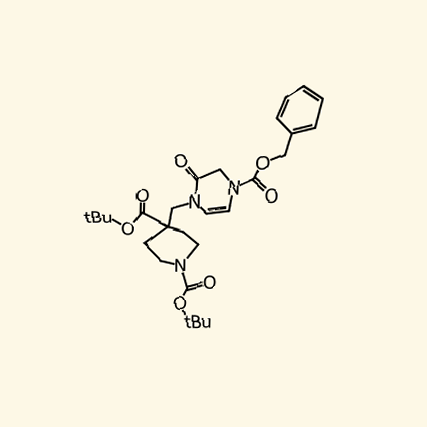 CC(C)(C)OC(=O)N1CCC(CN2C=CN(C(=O)OCc3ccccc3)CC2=O)(C(=O)OC(C)(C)C)CC1